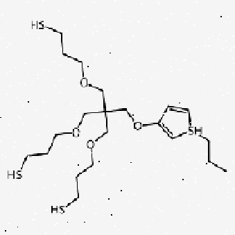 CCC[SH]1C=CC(OCC(COCCCS)(COCCCS)COCCCS)=C1